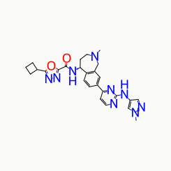 CN1CC[C@H](NC(=O)c2nnc(C3CCC3)o2)c2ccc(-c3ccnc(Nc4cnn(C)c4)n3)cc2C1